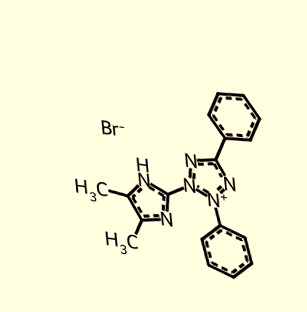 Cc1nc(-n2nc(-c3ccccc3)n[n+]2-c2ccccc2)[nH]c1C.[Br-]